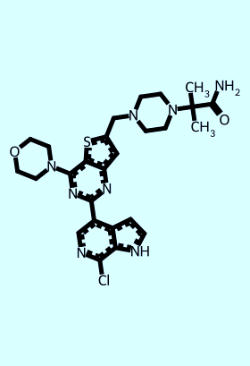 CC(C)(C(N)=O)N1CCN(Cc2cc3nc(-c4cnc(Cl)c5[nH]ccc45)nc(N4CCOCC4)c3s2)CC1